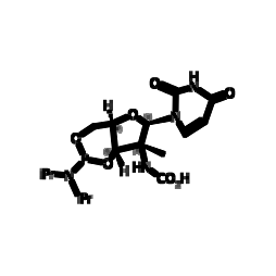 CC(C)N(C(C)C)P1OC[C@H]2O[C@@H](n3ccc(=O)[nH]c3=O)[C@](C)(NC(=O)O)[C@@H]2O1